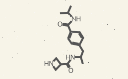 CC(C)NC(=O)c1ccc(CC(C)NC(=O)C2CNC2)cc1